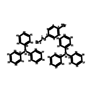 [Br][Pd][c]1ccc(Br)cc1.c1ccc(P(c2ccccc2)c2ccccc2)cc1.c1ccc(P(c2ccccc2)c2ccccc2)cc1